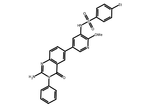 CCc1ccc(S(=O)(=O)Nc2cc(-c3ccc4nc(N)n(-c5ccccc5)c(=O)c4c3)cnc2OC)cc1